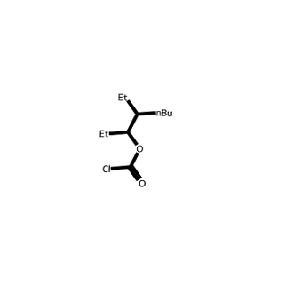 CCCCC(CC)C(CC)OC(=O)Cl